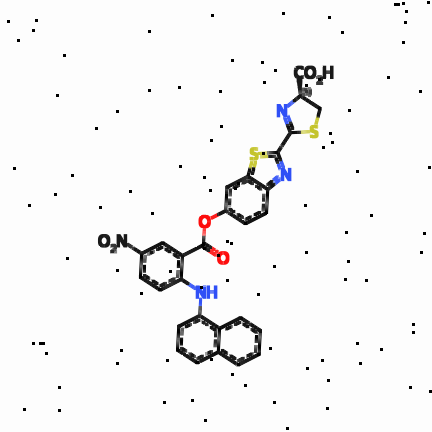 O=C(Oc1ccc2nc(C3=N[C@@H](C(=O)O)CS3)sc2c1)c1cc([N+](=O)[O-])ccc1Nc1cccc2ccccc12